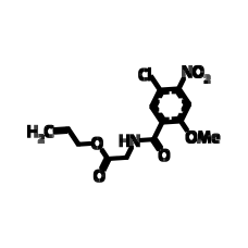 C=CCOC(=O)CNC(=O)c1cc(Cl)c([N+](=O)[O-])cc1OC